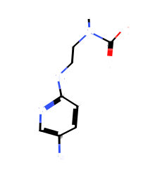 CN(CCNc1ccc(N)cn1)C(=O)O